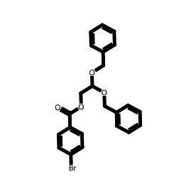 O=C(OCC(OCc1ccccc1)OCc1ccccc1)c1ccc(Br)cc1